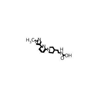 Cn1cc(-c2cccc(N3CCC(CCNC(=O)O)CC3)n2)cn1